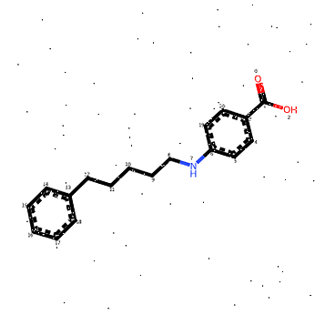 O=C(O)c1ccc(NCCCCCc2ccccc2)cc1